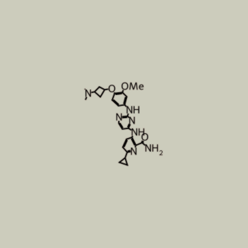 COc1cc(Nc2nccc(Nc3ccc(C4CC4)nc3C(N)=O)n2)ccc1OC1CC(N(C)C)C1